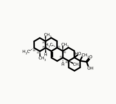 C[C@H]1[C@H](C)CC[C@]2(C)CC[C@]3(C)C(=CC[C@@H]4[C@@]5(C)CCCC(C)(C(=O)O)C5(O)CC[C@]43C)[C@H]12